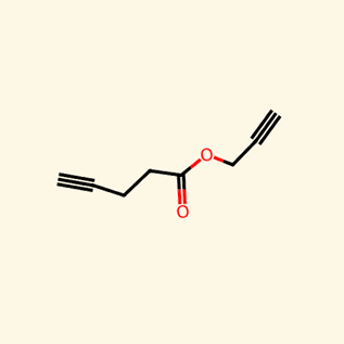 C#CCCC(=O)OCC#C